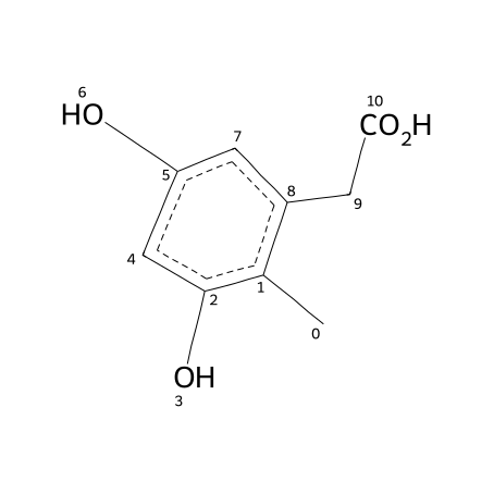 Cc1c(O)cc(O)cc1CC(=O)O